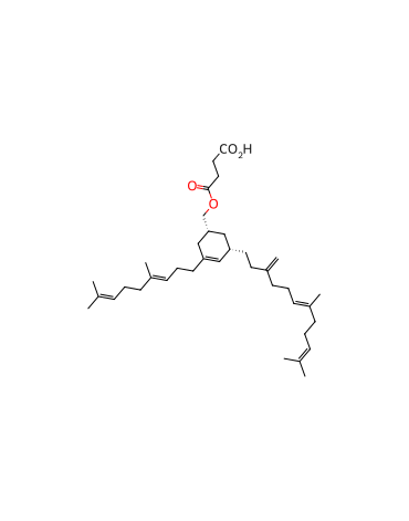 C=C(CC/C=C(\C)CCC=C(C)C)CC[C@@H]1C=C(CC/C=C(\C)CCC=C(C)C)C[C@H](COC(=O)CCC(=O)O)C1